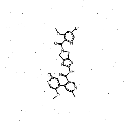 COc1cnc(Cl)cc1-c1cc(C)ncc1C(=O)Nc1nc2c(s1)CN(C(=O)c1ncc(Br)cc1OC)C2